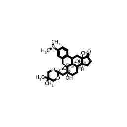 CN(C)c1ccc2c(c1)C[C@]13CCC4(C[C@]1(O)CC[C@H]1[C@@H]5CCC(=O)[C@@]5(C)CC2[C@@]13O)OCC(C)(C)CO4